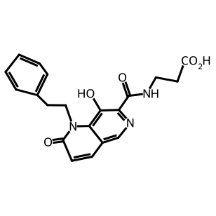 O=C(O)CCNC(=O)c1ncc2ccc(=O)n(CCc3ccccc3)c2c1O